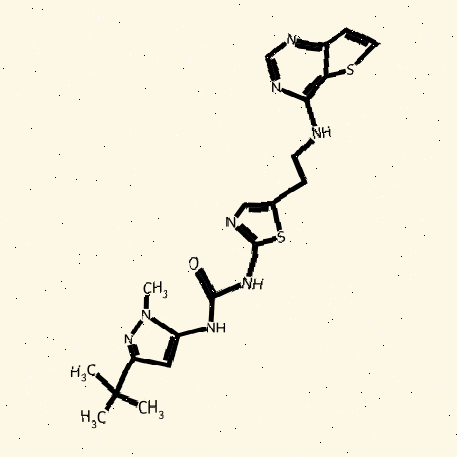 Cn1nc(C(C)(C)C)cc1NC(=O)Nc1ncc(CCNc2ncnc3ccsc23)s1